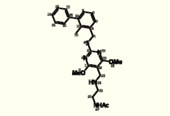 COc1nc(SCc2cccc(-c3ccccc3)c2C)nc(OC)c1CNCCNC(C)=O